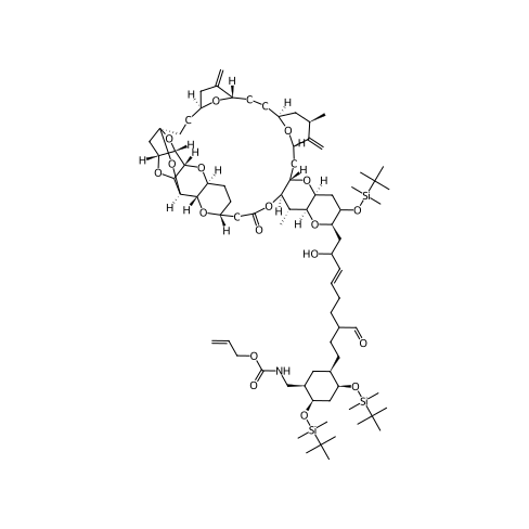 C=CCOC(=O)NC[C@H]1C[C@@H](CCC(C=O)CC/C=C/C(O)C[C@H]2O[C@H]3[C@H](C)[C@H]4OC(=O)C[C@H]5CC[C@@H]6O[C@@H]7C8O[C@@H]9C[C@@](CC[C@H]%10CC(=C)[C@H](CC[C@H]%11C[C@@H](C)C(=C)[C@@H](C[C@@H]4O[C@H]3CC2O[Si](C)(C)C(C)(C)C)O%11)O%10)(O[C@H]79)O[C@H]8[C@H]6O5)[C@@H](O[Si](C)(C)C(C)(C)C)C[C@H]1O[Si](C)(C)C(C)(C)C